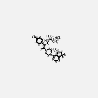 CC(C)NC[C@@H](C(=O)N1CCN(c2ncnc3c2[C@H](C)CC3(F)F)CC1)c1ccc(Cl)cc1.Cl.Cl